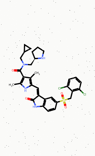 Cc1[nH]c(/C=C2\C(=O)Nc3ccc(S(=O)(=O)Cc4c(Cl)cccc4Cl)cc32)c(C)c1C(=O)N(CC1CC1)C[C@H]1CCCN1